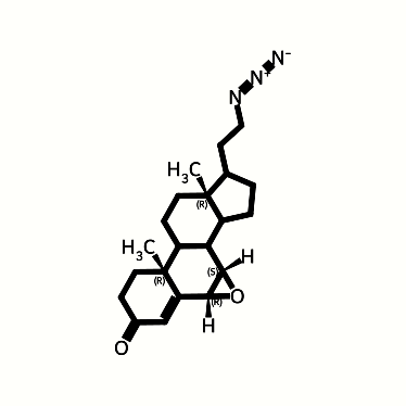 C[C@]12CCC3C(C1CCC2CCN=[N+]=[N-])[C@@H]1O[C@@H]1C1=CC(=O)CC[C@@]13C